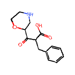 O=C(O)C(Cc1ccccc1)C(=O)C1CNCCO1